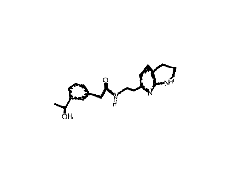 CC(O)c1cccc(CC(=O)NCCc2ccc3c(n2)NCCC3)c1